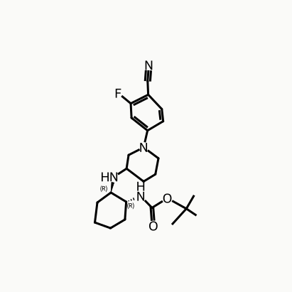 CC(C)(C)OC(=O)N[C@@H]1CCCC[C@H]1NC1CCCN(c2ccc(C#N)c(F)c2)C1